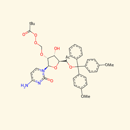 COc1ccc(C(OC(C(C)=O)[C@H]2O[C@@H](n3ccc(N)nc3=O)[C@H](OCOOC(=O)C(C)(C)C)[C@@H]2O)(c2ccccc2)c2ccc(OC)cc2)cc1